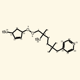 CC(C)(CCC(C)(COOC1C=CC(C(C)(C)C)C1)C(C)(C)C)Cc1ccncc1